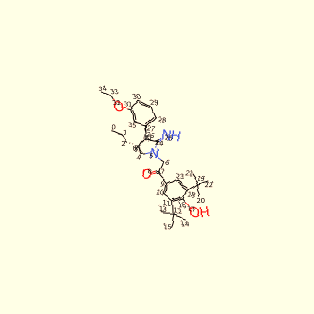 CCC[C@H]1CN(CC(=O)c2cc(C(C)(C)C)c(O)c(C(C)(C)C)c2)C(=N)[C@@H]1c1cccc(OCC)c1